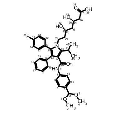 COC(OC)c1ccc(NC(=O)c2c(-c3ccccc3)c(-c3ccc(F)cc3)n(CC[C@@H](O)C[C@@H](O)CC(=O)O)c2C(C)C)cc1